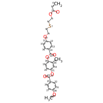 C=CC(=O)OCCSCCOc1ccc(C(=O)Oc2ccc(OC(=O)c3ccc(OC)cc3)cc2C)cc1